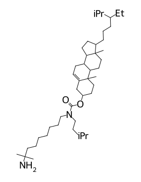 CCC(CCCC1CCC2C3CC=C4CC(OC(=O)N(CCCCCCCC(C)(C)N)CCC(C)C)CCC4(C)C3CCC12C)C(C)C